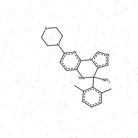 Cc1cccc(C)c1C1(N)Nc2ccc(N3CCSCC3)nc2-n2cncc21